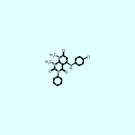 Cn1c(=O)cc(Nc2ccc(Cl)cc2)c2c(=O)n(-c3ccccc3)c(=O)n(C)c21